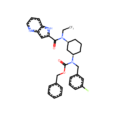 O=C(OCc1ccccc1)N(Cc1cccc(F)c1)[C@@H]1CCC[C@H](N(CC(F)(F)F)C(=O)c2cc3ncccc3[nH]2)C1